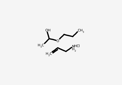 C=CCN.CCCOC(C)O.Cl